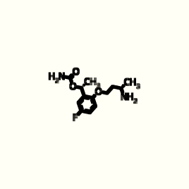 C[C@@H](N)CCOc1ccc(F)cc1[C@@H](C)OC(N)=O